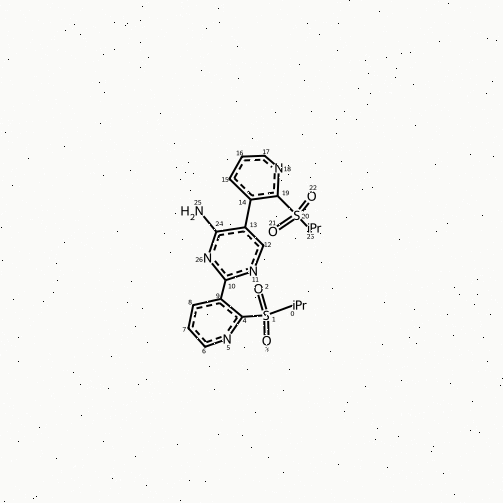 CC(C)S(=O)(=O)c1ncccc1-c1ncc(-c2cccnc2S(=O)(=O)C(C)C)c(N)n1